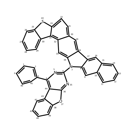 c1ccc(-c2nc(-n3c4cc5ccccc5cc4c4cc5ccc6sc7ccccc7c6c5cc43)nc3oc4ccccc4c23)cc1